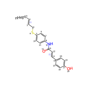 CCCCCCC/C=C/CSc1ccc(NC(=O)/C=C/c2ccc(O)cc2)cc1